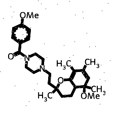 COc1ccc(C(=O)N2CCN(CCC3(C)CCC4C(=C(C)C(C)=CC4(C)OC)O3)CC2)cc1